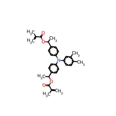 C=C(C)C(=O)OC(C)c1ccc(N(c2ccc(C(C)OC(=O)C(=C)C)cc2)c2ccc(C)c(C)c2)cc1